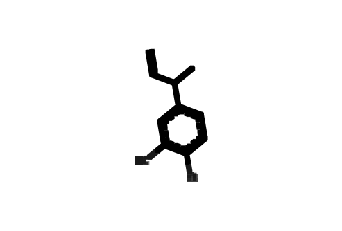 C=C[C](C)c1ccc(CC)c(C#N)c1